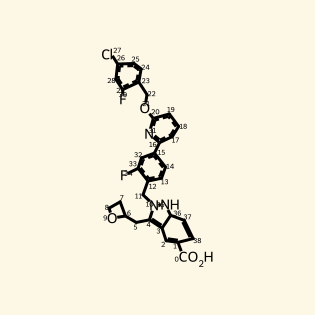 O=C(O)C1=CC2=C(CC3CCO3)N(Cc3ccc(-c4cccc(OCc5ccc(Cl)cc5F)n4)cc3F)NC2C=C1